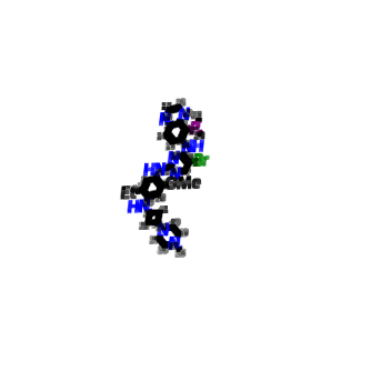 CCc1cc(Nc2ncc(Br)c(Nc3ccc4nccnc4c3P(C)C)n2)c(OC)cc1NC1CC(N2CCN(C)CC2)C1